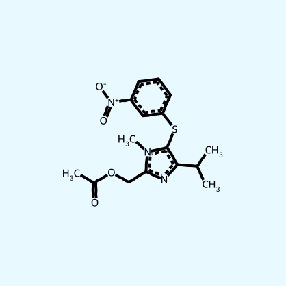 CC(=O)OCc1nc(C(C)C)c(Sc2cccc([N+](=O)[O-])c2)n1C